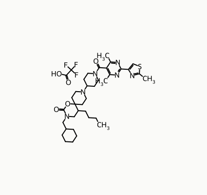 CCCCC1CN(CC2CCCCC2)C(=O)OC12CCN(C1CCN(C(=O)c3c(C)nc(-c4csc(C)n4)nc3C)CC1)CC2.O=C(O)C(F)(F)F